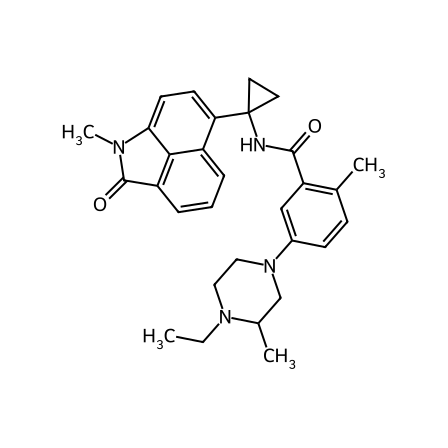 CCN1CCN(c2ccc(C)c(C(=O)NC3(c4ccc5c6c(cccc46)C(=O)N5C)CC3)c2)CC1C